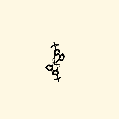 CC(C)(C)c1csc([O][Zr]([O]c2cc(C(C)(C)C)cs2)([C]2=CC=CC2)[C]2=CC=CC2)c1